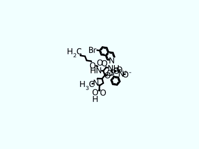 C=CCCCOC(=O)NC(C(=O)C1CC(C(=O)O)N(C)C1)C(NS(=O)(=O)c1ccccc1[N+](=O)[O-])Oc1nccc2ccc(Br)cc12